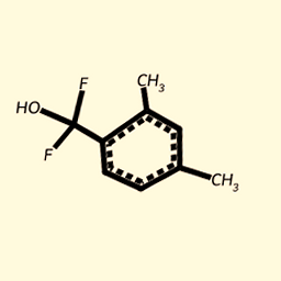 Cc1ccc(C(O)(F)F)c(C)c1